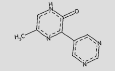 Cc1c[nH]c(=O)c(-c2cncnc2)n1